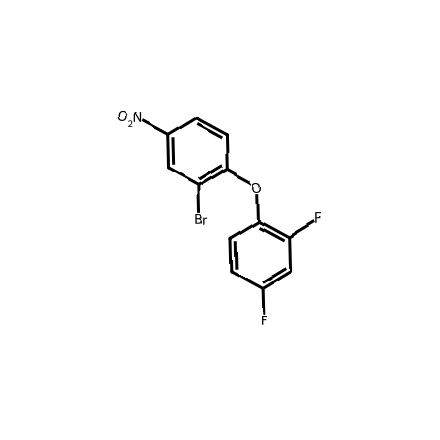 O=[N+]([O-])c1ccc(Oc2ccc(F)cc2F)c(Br)c1